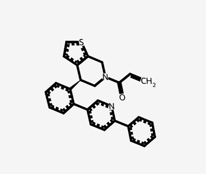 C=CC(=O)N1Cc2sccc2[C@H](c2ccccc2-c2ccc(-c3ccccc3)nc2)C1